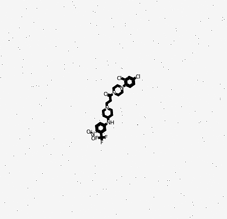 O=C(CCN1CCC(Nc2ccc([N+](=O)[O-])c(C(F)(F)F)c2)CC1)N1CCN(c2ccc(Cl)cc2Cl)CC1